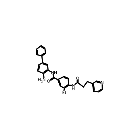 CCc1cc(C(=O)Nc2cc(-c3ccccc3)ccc2N)ccc1NC(=O)CCc1cccnc1